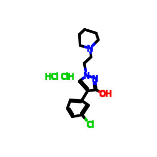 Cl.Cl.Oc1nn(CCN2CCCCC2)cc1-c1cccc(Cl)c1